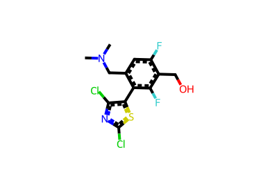 CN(C)Cc1cc(F)c(CO)c(F)c1-c1sc(Cl)nc1Cl